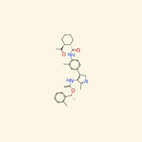 C=C(NC1=C(c2ccc(NC(=O)[C@H]3CCCC[C@@H]3C(C)=O)c(C)c2)CN=C1C)O[C@H](C)c1ccccc1C